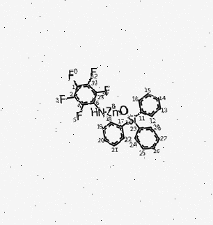 Fc1c(F)c(F)c([NH][Zn][O][Si](c2ccccc2)(c2ccccc2)c2ccccc2)c(F)c1F